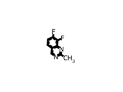 Cc1ncc2ccc(F)c(F)c2n1